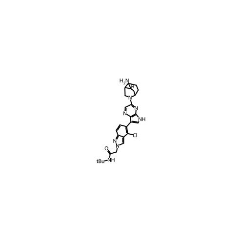 CC(C)(C)NC(=O)Cn1cc2c(Cl)c(-c3c[nH]c4nc(N5CC6CCCC5C[C@@H]6N)cnc34)ccc2n1